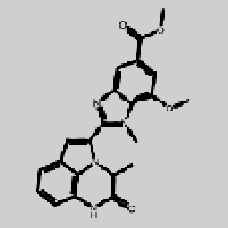 COC(=O)c1cc(OC)c2c(c1)nc(-c1cc3cccc4c3n1C(C)C(=O)N4)n2C